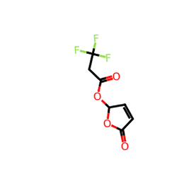 O=C1C=CC(OC(=O)CC(F)(F)F)O1